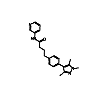 Cc1nn(C)c(C)c1-c1ccc(CCCC(=O)Nc2cccnc2)cc1